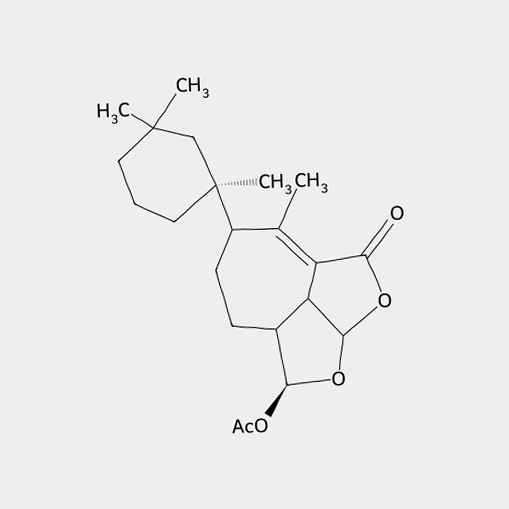 CC(=O)O[C@@H]1OC2OC(=O)C3=C(C)C([C@@]4(C)CCCC(C)(C)C4)CCC1C32